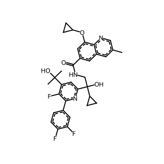 Cc1cnc2c(OC3CC3)cc(C(=O)NCC(O)(c3cc(C(C)(C)O)c(F)c(-c4ccc(F)c(F)c4)n3)C3CC3)cc2c1